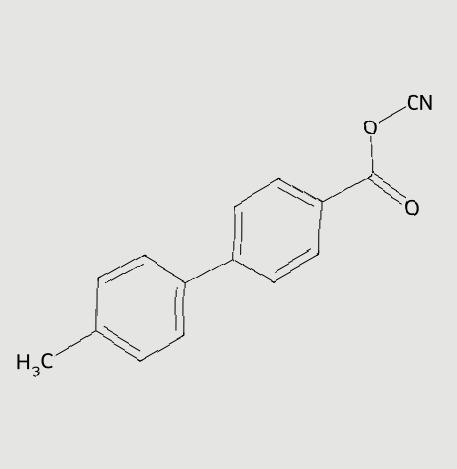 Cc1ccc(-c2ccc(C(=O)OC#N)cc2)cc1